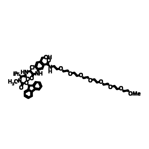 COCCOCCOCCOCCOCCOCCOCCOCCNC(=O)c1cc(NC(=O)[C@H](C)NC(=O)[C@H](C(C)C)N(C)C(=O)OC2c3ccccc3-c3ccccc32)ccc1CO